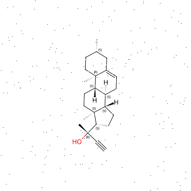 C#C[C@](C)(O)[C@H]1CC[C@H]2[C@@H]3CC=C4C[C@@H](C)CC[C@]4(C)[C@H]3CC[C@@]21C